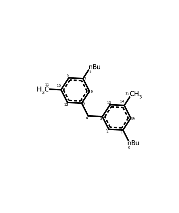 CCCCc1[c]c(Cc2[c]c(CCCC)cc(C)c2)cc(C)c1